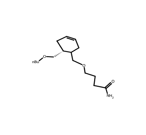 CCCCOC[C@@H]1CC=CCC1COCCCC(N)=O